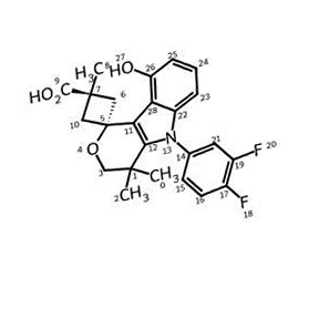 CC1(C)CO[C@]2(C[C@](C)(C(=O)O)C2)c2c1n(-c1ccc(F)c(F)c1)c1cccc(O)c12